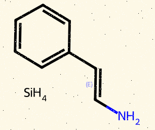 N/C=C/c1ccccc1.[SiH4]